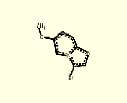 COc1ccc2ncc(Br)n2c1